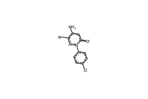 Nc1cc(=O)n(-c2ccc(Cl)cc2)nc1Br